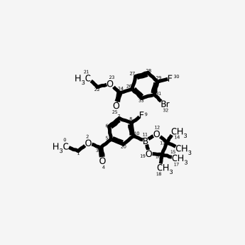 CCOC(=O)c1ccc(F)c(B2OC(C)(C)C(C)(C)O2)c1.CCOC(=O)c1ccc(F)c(Br)c1